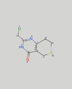 O=c1[nH]c(CCl)nc2c1CSCC2